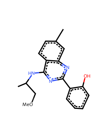 COCC(C)Nc1nc(-c2ccccc2O)nc2cc(C)ccc12